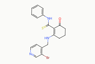 O=C1CCCC(NCc2ccncc2Br)=C1C(=S)Nc1ccccc1